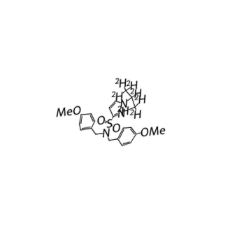 [2H]C([2H])([2H])C([2H])(n1ccc(S(=O)(=O)N(Cc2ccc(OC)cc2)Cc2ccc(OC)cc2)n1)C([2H])([2H])[2H]